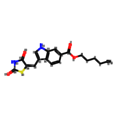 CCCCCOC(=O)c1ccc2c(C=C3SC(=O)NC3=O)c[nH]c2c1